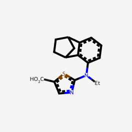 CCN(c1ncc(C(=O)O)s1)c1cccc2c1C1CCC2C1